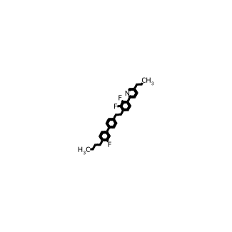 CCCCc1ccc(-c2ccc(CCc3ccc(-c4ccc(CCC)cn4)c(F)c3F)cc2)cc1F